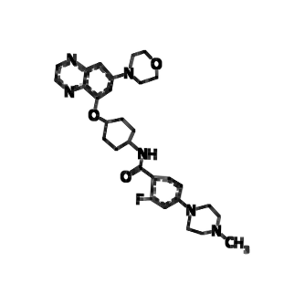 CN1CCN(c2ccc(C(=O)NC3CCC(Oc4cc(N5CCOCC5)cc5nccnc45)CC3)c(F)c2)CC1